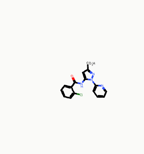 O=C(O)c1cc(NC(=O)c2ccccc2Cl)n(-c2ccccn2)n1